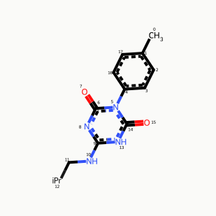 Cc1ccc(-n2c(=O)nc(NCC(C)C)[nH]c2=O)cc1